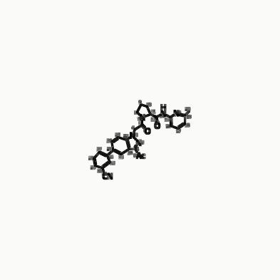 CC(=O)c1nn(CC(=O)N2CCC[C@H]2C(=O)Nc2cccc(C)n2)c2ccc(-c3cccc(C#N)c3)cc12